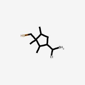 BC(CC)C1CC(C)C(C)(CS)C1C